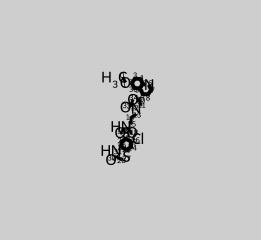 COc1ccc2nccc([C@@H]3CN(CCCNS(=O)(=O)c4cc5c(cc4Cl)SCC(=O)N5)C(=O)O3)c2c1